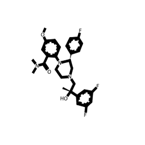 COc1ccc(N2CCN(C[C@@](C)(O)c3cc(F)cc(F)c3)C[C@H]2c2ccc(F)cc2)c(C(=O)N(C)C)c1